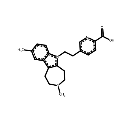 Cc1ccc2c(c1)c1c(n2CCc2ccc(C(=O)O)nc2)CCN(C)CC1